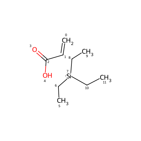 C=CC(=O)O.CC[Si](CC)CC